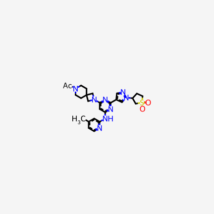 CC(=O)N1CCC2(CC1)CN(c1cc(Nc3cc(C)ccn3)nc(-c3cnn(C4CCS(=O)(=O)C4)c3)n1)C2